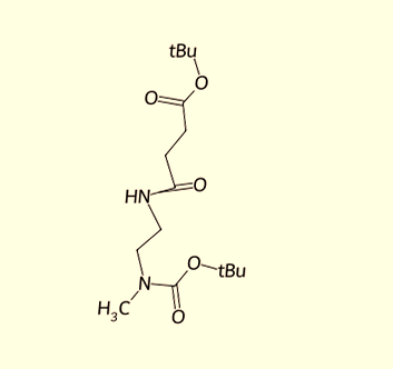 CN(CCNC(=O)CCC(=O)OC(C)(C)C)C(=O)OC(C)(C)C